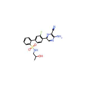 CC(O)CNS(=O)(=O)c1ccccc1-c1ccc(-c2cnc(N)c(C#N)n2)c(F)c1